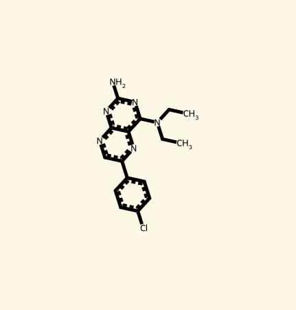 CCN(CC)c1nc(N)nc2ncc(-c3ccc(Cl)cc3)nc12